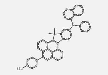 CC(C)(C)c1ccc(-c2cc3cccc4c5c(c6cccc2c6c34)C(C)(C)c2cc(N(c3ccccc3)c3cccc4ccccc34)ccc2-5)cc1